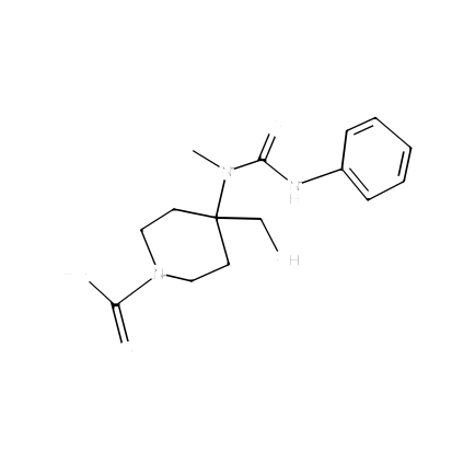 CN(C(=O)Nc1ccccc1)C1(CO)CCN(C(=O)O)CC1